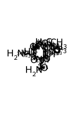 CC(C)(C)NC(=O)[C@@H]1[C@H](CSc2ccccc2)NC(=O)[C@H](CCC(N)=O)NC(=O)[C@H](CCCCN)NC(=O)[C@@H]2CCCN12